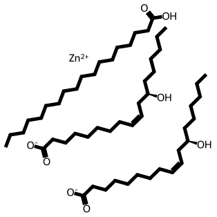 CCCCCCCCCCCCCCCCCC(=O)O.CCCCCC[C@@H](O)C/C=C\CCCCCCCC(=O)[O-].CCCCCC[C@@H](O)C/C=C\CCCCCCCC(=O)[O-].[Zn+2]